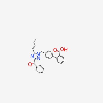 CC/C=C/c1nc(C(=O)c2ccccc2)nn1Cc1ccc(-c2ccccc2C(=O)O)cc1